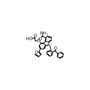 NC(=O)c1cccc2c1c1c(OCC(=O)O)cc(-c3ccco3)cc1n2Cc1ccccc1C(=O)c1ccccc1